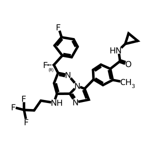 Cc1cc(-c2cnc3c(NCCC(F)(F)F)cc([C@H](F)c4cccc(F)c4)nn23)ccc1C(=O)NC1CC1